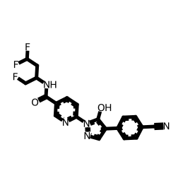 N#Cc1ccc(-c2cnn(-c3ccc(C(=O)NC(CF)CC(F)F)cn3)c2O)cc1